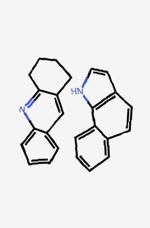 c1ccc2c(c1)ccc1cc[nH]c12.c1ccc2nc3c(cc2c1)CCCC3